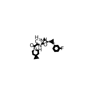 C[C@H](Nc1nnc([C@H]2C[C@@H]2c2cccc(F)c2)o1)C(=O)N1CCC2(CC1)CC2